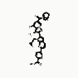 CNC(=O)c1ccc(-c2ccc3cc(-c4nn5cc(C(=O)N6CC7CCC6[C@@H]7N)cc(F)c5c4C)n(CC4CC4)c3n2)cn1